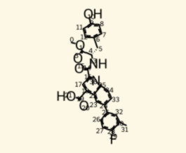 COC(=O)[C@H](Cc1ccc(O)cc1)NC(=O)c1cc(C(=O)O)c2cc(-c3ccc(F)c(C)c3)ccc2n1